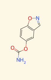 NC(=O)Oc1ccc2oncc2c1